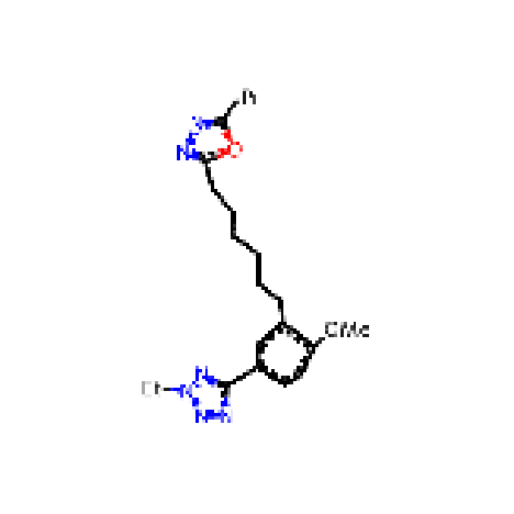 CCn1nnc(-c2ccc(OC)c(CCCCCCc3nnc(C(C)C)o3)c2)n1